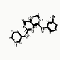 Brc1cccc(Nc2ncnc3cnc(NC4CCCNC4)nc23)c1